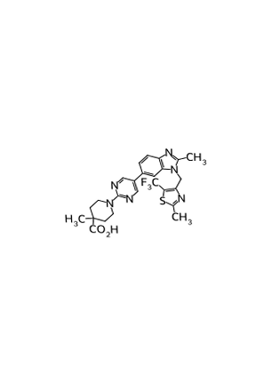 Cc1nc(Cn2c(C)nc3ccc(-c4cnc(N5CCC(C)(C(=O)O)CC5)nc4)cc32)c(C(F)(F)F)s1